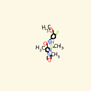 CCSc1nc(N2CCOC[C@H]2C)cc(C)c1C(=O)NCc1ccc(F)c(COC)c1